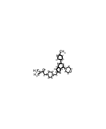 Cc1ccc(-c2nc(N3CCOCC3)c3sc(CN4CCN(CC(=O)N(C)C)CC4)cc3n2)cn1